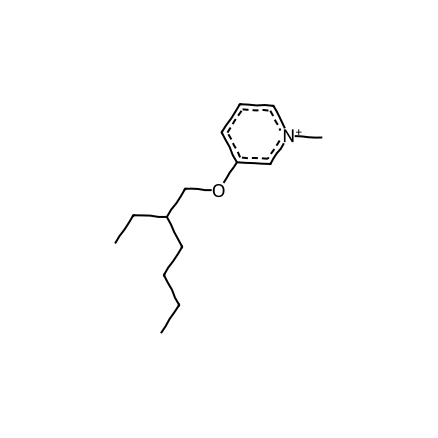 CCCCC(CC)COc1ccc[n+](C)c1